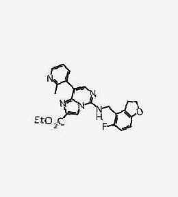 CCOC(=O)c1cn2c(NCc3c(F)ccc4c3CCO4)ncc(-c3cccnc3C)c2n1